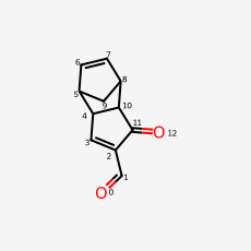 O=CC1=CC2C3C=CC(C3)C2C1=O